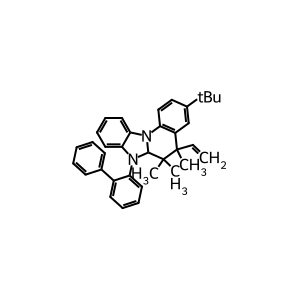 C=CC1(C)c2cc(C(C)(C)C)ccc2N2c3ccccc3N(c3ccccc3-c3ccccc3)C2C1(C)C